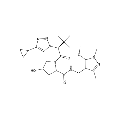 COc1c(CNC(=O)C2CC(O)CN2C(=O)[C@@H](n2cc(C3CC3)nn2)C(C)(C)C)c(C)nn1C